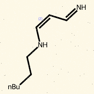 CCCCCCN/C=C\C=N